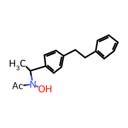 CC(=O)N(O)C(C)c1ccc(CCc2ccccc2)cc1